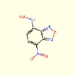 O=[N+]([O-])c1ccc(NO)c2nonc12